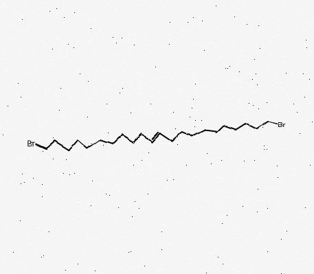 BrCCCCCCCCCCC=CCCCCCCCCCCBr